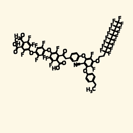 CCc1ccc(Oc2c(F)c(OCCC(F)(F)C(F)(F)C(F)(F)C(F)(F)C(F)(F)C(F)(F)C(F)(F)C(F)(F)F)c(F)c(Oc3ccc(CC(=O)c4c(F)c(Oc5c(F)c(F)c(Oc6c(F)c(F)c(C(C)=O)c(C(=O)O)c6F)c(F)c5F)c(F)c(F)c4C(=O)O)cc3)c2C#N)cc1